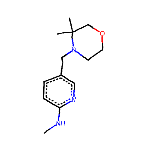 CNc1ccc(CN2CCOCC2(C)C)cn1